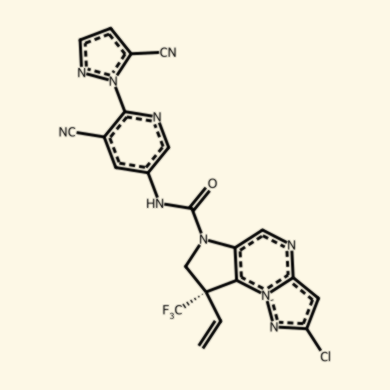 C=C[C@@]1(C(F)(F)F)CN(C(=O)Nc2cnc(-n3nccc3C#N)c(C#N)c2)c2cnc3cc(Cl)nn3c21